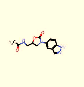 CC(=O)NCC1CN(c2ccc3[nH]ncc3c2)C(=O)O1